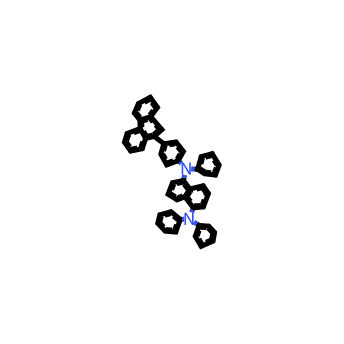 c1ccc(N(c2ccccc2)c2cccc3c(N(c4ccccc4)c4ccc(-c5cc6ccccc6c6ccccc56)cc4)cccc23)cc1